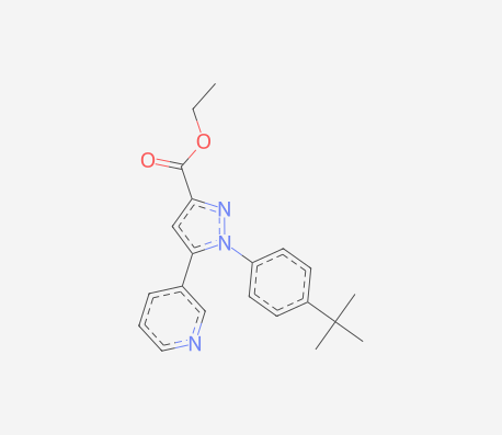 CCOC(=O)c1cc(-c2cccnc2)n(-c2ccc(C(C)(C)C)cc2)n1